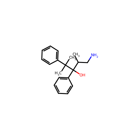 CC(CN)C(O)(c1ccccc1)C(C)(C)c1ccccc1